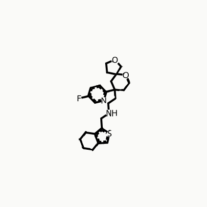 Fc1ccc(C2(CCNCc3scc4c3CCCC4)CCOC3(CCOC3)C2)nc1